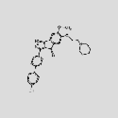 COc1cc2c(cc1OCCN1CCCCC1)C(=O)c1c(-c3ccc(-c4ccc(O)cc4)cc3)n[nH]c1-2